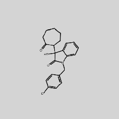 O=C1CCCCCC1C1(O)C(=O)N(Cc2ccc(Cl)cc2)c2ccccc21